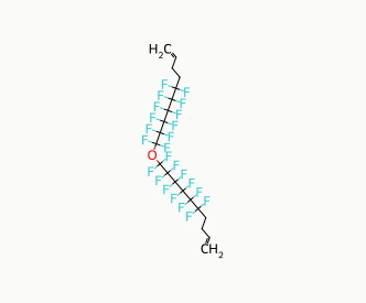 C=CCCC(F)(F)C(F)(F)C(F)(F)C(F)(F)C(F)(F)C(F)(F)OC(F)(F)C(F)(F)C(F)(F)C(F)(F)C(F)(F)C(F)(F)CCC=C